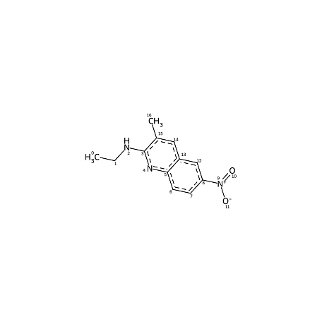 CCNc1nc2ccc([N+](=O)[O-])cc2cc1C